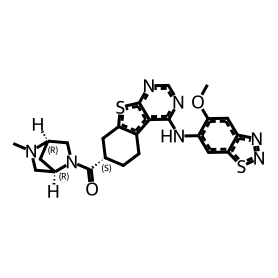 COc1cc2nnsc2cc1Nc1ncnc2sc3c(c12)CC[C@H](C(=O)N1C[C@H]2C[C@@H]1CN2C)C3